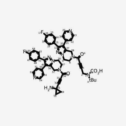 CC(C)(C)N(CC#CC(=O)N1CCn2nc(-c3ccc(F)cc3)c(-c3ccncc3)c2C1)C(=O)O.NC1(C#CC(=O)N2CCn3nc(-c4ccc(F)cc4)c(-c4ccncc4)c3C2)CC1